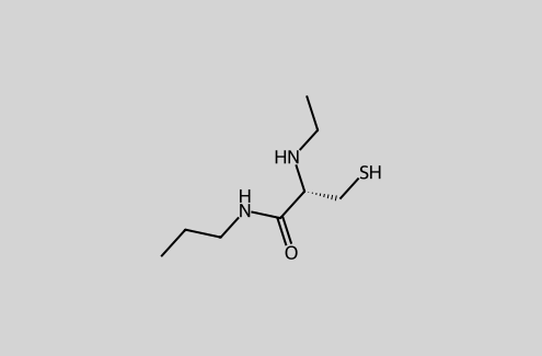 CCCNC(=O)[C@@H](CS)NCC